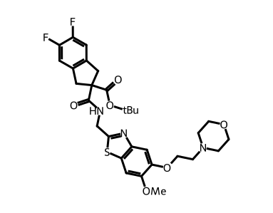 COc1cc2sc(CNC(=O)C3(C(=O)OC(C)(C)C)Cc4cc(F)c(F)cc4C3)nc2cc1OCCN1CCOCC1